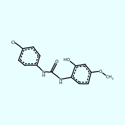 COc1ccc(NC(=O)Nc2ccc(Cl)cc2)c(O)c1